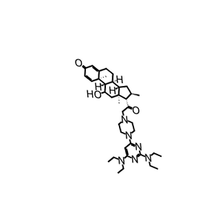 CCN(CC)c1cc(N2CCN(CC(=O)[C@H]3[C@H](C)C[C@H]4[C@@H]5CCC6=CC(=O)C=C[C@]6(C)[C@H]5C(O)C[C@@]43C)CC2)nc(N(CC)CC)n1